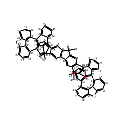 CC1(C)c2cc3c(cc2-c2cc4c(cc21)-c1c(cc(-c2cccc5oc6cccc(-c7ccccc7)c6c25)c2ccccc12)C4(C)C)C(C)(C)c1cc(-c2cccc4oc5cccc(-c6ccccc6)c5c24)c2ccccc2c1-3